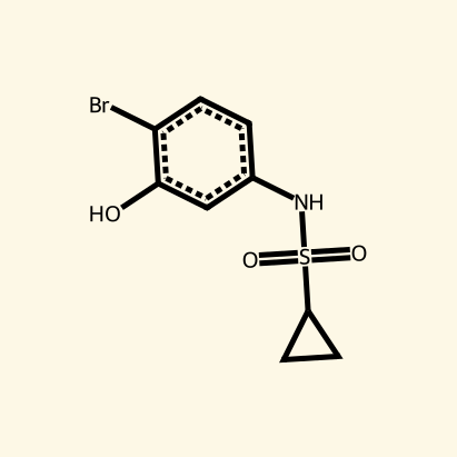 O=S(=O)(Nc1ccc(Br)c(O)c1)C1CC1